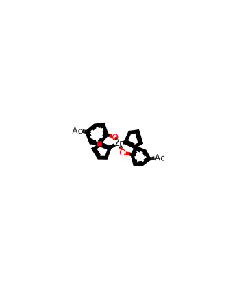 CC(=O)c1ccc([O][Zr]([O]c2ccc(C(C)=O)cc2)([C]2=CC=CC2)[C]2=CC=CC2)cc1